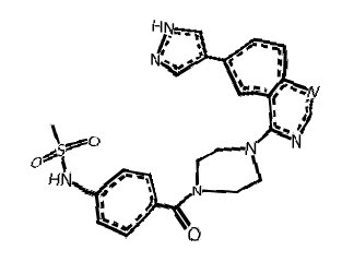 CS(=O)(=O)Nc1ccc(C(=O)N2CCN(c3ncnc4ccc(-c5cn[nH]c5)cc34)CC2)cc1